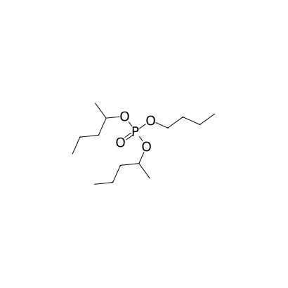 CCCCOP(=O)(OC(C)CCC)OC(C)CCC